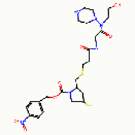 O=C(CCSCC1CC(S)CN1C(=O)OCc1ccc([N+](=O)[O-])cc1)NCC(=O)N(CCO)N1CCNCC1